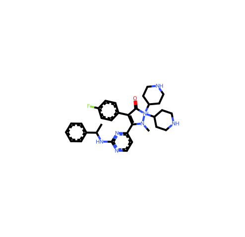 CC(Nc1nccc(C2=C(c3ccc(F)cc3)C(=O)[N+](C3CCNCC3)(C3CCNCC3)N2C)n1)c1ccccc1